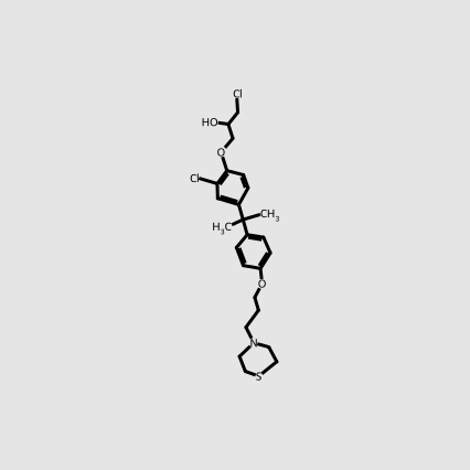 CC(C)(c1ccc(OCCCN2CCSCC2)cc1)c1ccc(OCC(O)CCl)c(Cl)c1